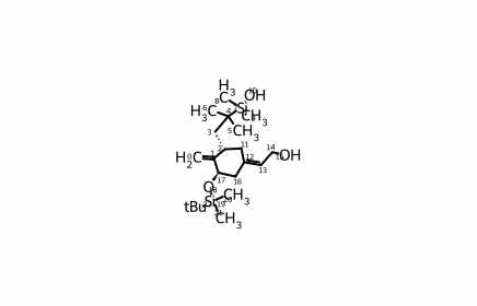 C=C1[C@H](CC(C)(C)[Si](C)(C)O)C/C(=C\CO)C[C@H]1O[Si](C)(C)C(C)(C)C